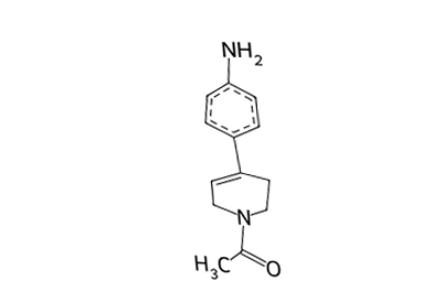 CC(=O)N1CC=C(c2ccc(N)cc2)CC1